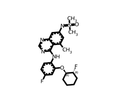 Cc1cc(N=S(C)(C)=O)cc2ncnc(Nc3ccc(F)cc3O[C@@H]3CCCC[C@H]3F)c12